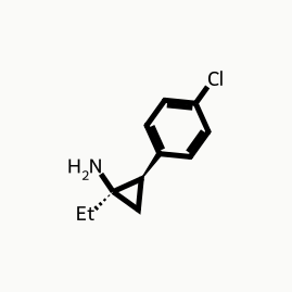 CC[C@@]1(N)C[C@@H]1c1ccc(Cl)cc1